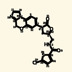 O=C(NC[C@H]1CN(c2ccc3c(c2)OCc2nccn2-3)C(=O)O1)c1ccc(Cl)s1